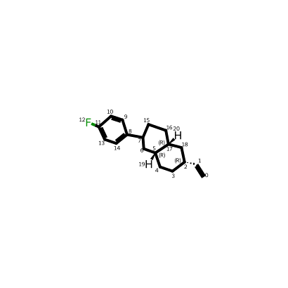 C=C[C@@H]1CC[C@@H]2CC(c3ccc(F)cc3)CC[C@@H]2C1